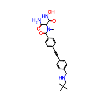 CN(C(=O)c1ccc(C#Cc2ccc(CNCC(C)(C)C)cc2)cc1)C(C(N)=O)C(=O)NO